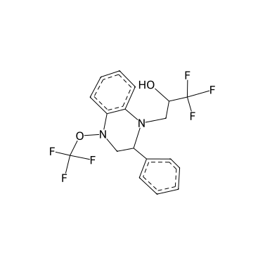 OC(CN1c2ccccc2N(OC(F)(F)F)CC1c1ccccc1)C(F)(F)F